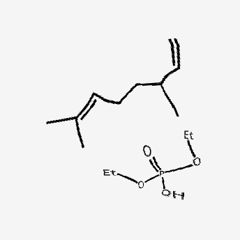 C=CC(C)CCC=C(C)C.CCOP(=O)(O)OCC